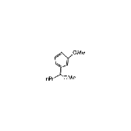 CCCC(OC)c1cccc(OC)c1